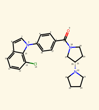 O=C(c1ccc(-n2ccc3cccc(Cl)c32)cc1)N1CC[C@H](N2CCCC2)C1